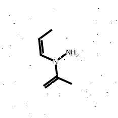 C=C(C)N(N)/C=C\C